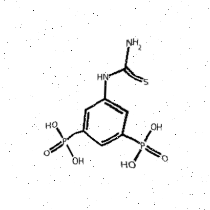 NC(=S)Nc1cc(P(=O)(O)O)cc(P(=O)(O)O)c1